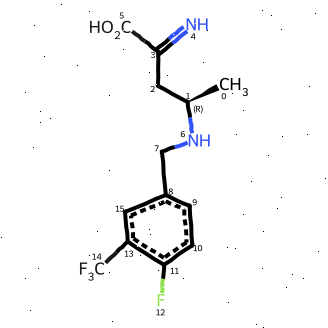 C[C@H](CC(=N)C(=O)O)NCc1ccc(F)c(C(F)(F)F)c1